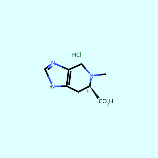 CN1CC2=C(C[C@@H]1C(=O)O)[N]C=N2.Cl